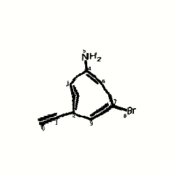 C=Cc1cc(N)cc(Br)c1